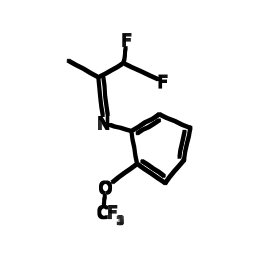 CC(=Nc1ccccc1OC(F)(F)F)C(F)F